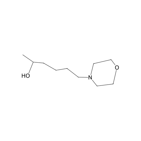 CC(O)CCCCN1CCOCC1